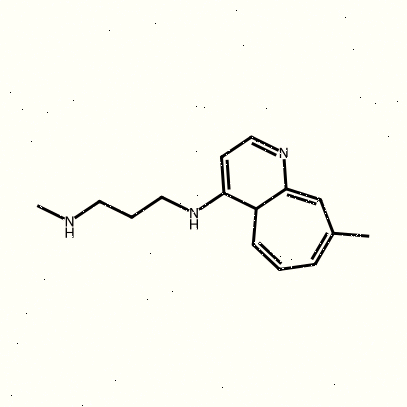 CNCCCNC1=CC=NC2=CC(C)=CC=CC21